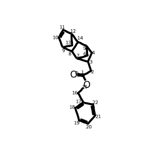 O=C(CC1CC2CC1C1C3C=CC(C3)C21)OCc1ccccc1